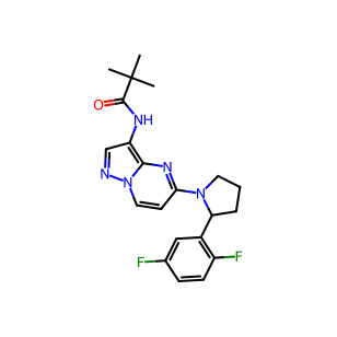 CC(C)(C)C(=O)Nc1cnn2ccc(N3CCCC3c3cc(F)ccc3F)nc12